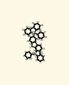 c1ccc(-n2c3ccccc3c3ccc4c(c32)Cc2ccc([Si]3(c5ccccc5)c5ccccc5-c5ccccc53)cc2-4)cc1